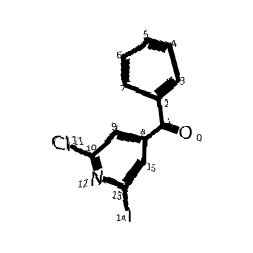 O=C(c1ccccc1)c1cc(Cl)nc(I)c1